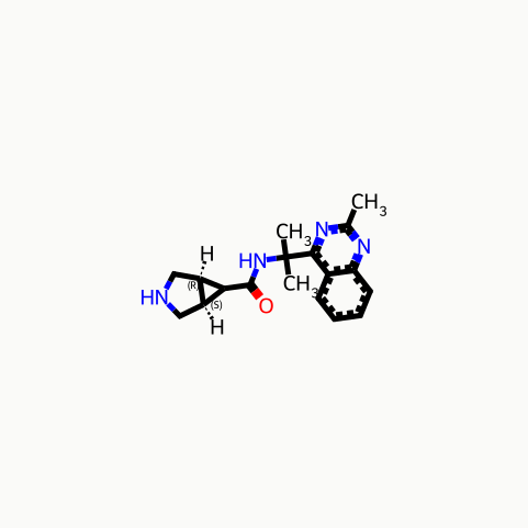 Cc1nc(C(C)(C)NC(=O)C2[C@H]3CNC[C@@H]23)c2ccccc2n1